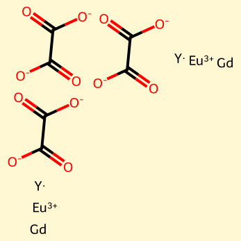 O=C([O-])C(=O)[O-].O=C([O-])C(=O)[O-].O=C([O-])C(=O)[O-].[Eu+3].[Eu+3].[Gd].[Gd].[Y].[Y]